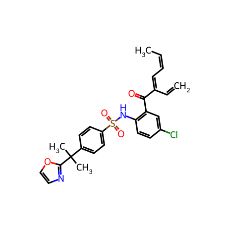 C=C/C(=C\C=C/C)C(=O)c1cc(Cl)ccc1NS(=O)(=O)c1ccc(C(C)(C)c2ncco2)cc1